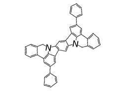 c1ccc(-c2cc3c4c(c2)c2cc5c(cc2n4Cc2ccccc2-3)c2cc(-c3ccccc3)cc3c2n5Cc2ccccc2-3)cc1